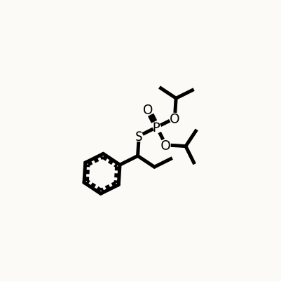 CCC(SP(=O)(OC(C)C)OC(C)C)c1ccccc1